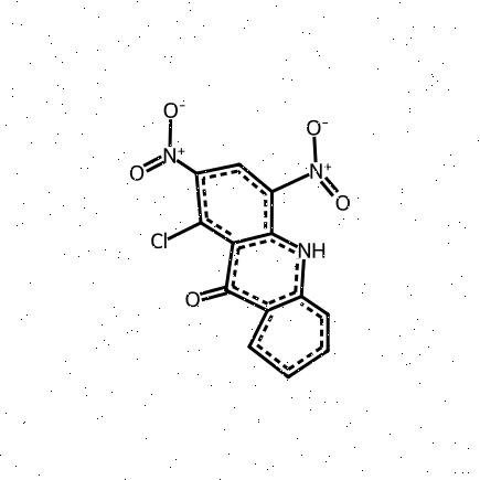 O=c1c2ccccc2[nH]c2c([N+](=O)[O-])cc([N+](=O)[O-])c(Cl)c12